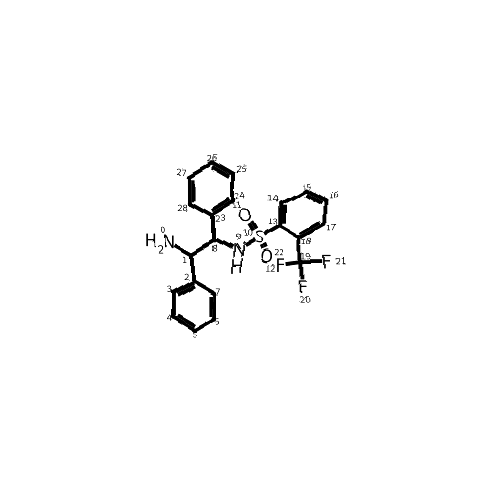 NC(c1ccccc1)C(NS(=O)(=O)c1ccccc1C(F)(F)F)c1ccccc1